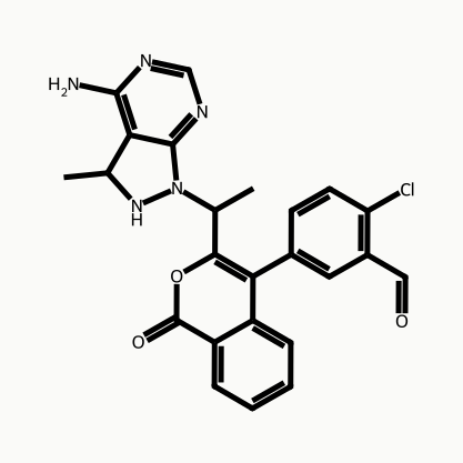 CC1NN(C(C)c2oc(=O)c3ccccc3c2-c2ccc(Cl)c(C=O)c2)c2ncnc(N)c21